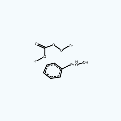 CC(C)OOC(=O)OC(C)C.CC(C)c1ccccc1.OO